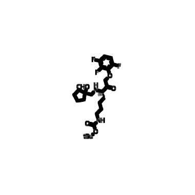 CC(C)(C)OC(=O)NCCCC[C@H](NCC1(C=O)CCCC1)C(=O)COc1c(F)ccc(F)c1F